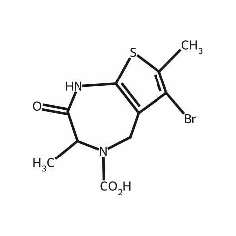 Cc1sc2c(c1Br)CN(C(=O)O)C(C)C(=O)N2